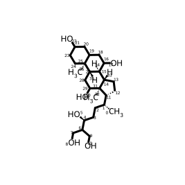 C[C@H](CC[C@H](O)C(CO)CO)[C@H]1CC[C@H]2[C@@H]3C(O)CC4CC(O)CC[C@]4(C)[C@H]3CC(O)[C@]12C